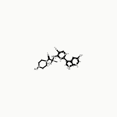 CC(=O)N1CCN(C(=O)[C@@](C)(N)Nc2nc(-c3c[nH]c4ncc(Cl)cc34)ncc2F)CC1